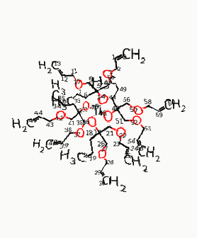 C=CCOCC(CCC)(COCC=C)[O][Ti]([O]C(CCC)(COCC=C)COCC=C)([O]C(CCC)(COCC=C)COCC=C)[O]C(CCC)(COCC=C)COCC=C